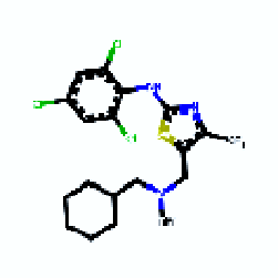 CCCN(Cc1sc(Nc2c(Cl)cc(Cl)cc2Cl)nc1C(F)(F)F)CC1CCCCC1